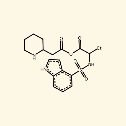 CCC(NS(=O)(=O)c1cccc2[nH]ccc12)C(=O)OC(=O)CC1CCCCN1